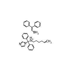 BC=C(c1ccccc1)c1ccccc1.C=CCCCC[SiH2]C(c1ccccc1)(c1ccccc1)n1ccnc1